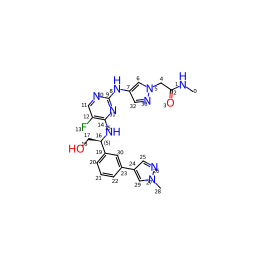 CNC(=O)Cn1cc(Nc2ncc(F)c(N[C@H](CO)c3cccc(-c4cnn(C)c4)c3)n2)cn1